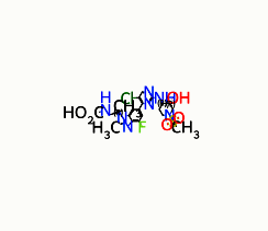 Cc1nc2c(F)cc(-c3nc(N[C@@H]4CCN(S(C)(=O)=O)C[C@H]4O)ncc3Cl)cc2n1[C@H](C)CNC(=O)O